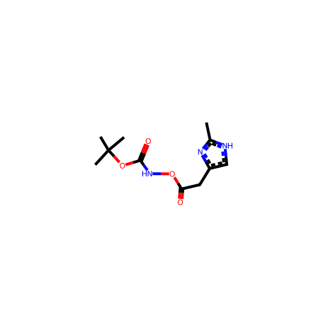 Cc1nc(CC(=O)ONC(=O)OC(C)(C)C)c[nH]1